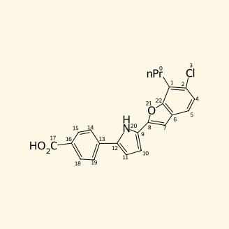 CCCc1c(Cl)ccc2cc(-c3ccc(-c4ccc(C(=O)O)cc4)[nH]3)oc12